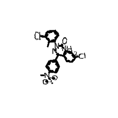 Cc1c(Cl)cccc1N(N=C(c1ccc(Cl)cc1)c1ccc(N(C)S(C)(=O)=O)cc1)C(N)=O